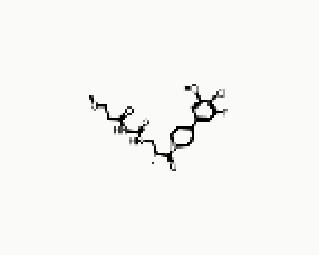 COCCC(=O)NC(=O)NC[C@@H](C)C(=O)N1CCC(c2cc(F)c(Cl)c(OC)c2)CC1